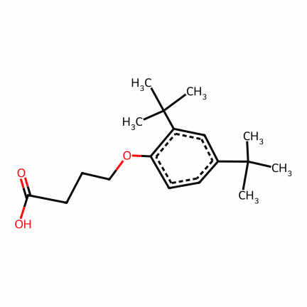 CC(C)(C)c1ccc(OCCCC(=O)O)c(C(C)(C)C)c1